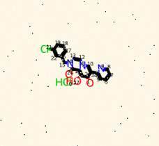 Cl.O=c1c(-c2ccccn2)cn2ccn(Cc3cccc(Cl)c3)c(=O)c2c1O